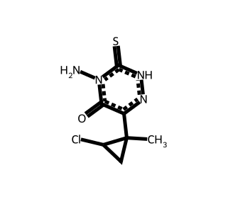 CC1(c2n[nH]c(=S)n(N)c2=O)CC1Cl